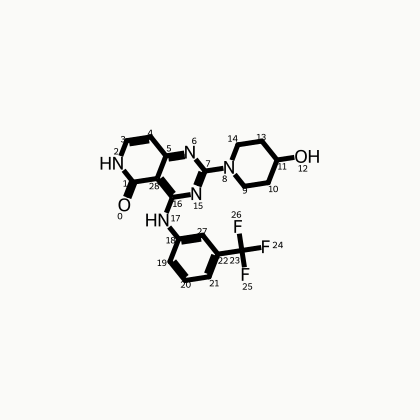 O=c1[nH]ccc2nc(N3CCC(O)CC3)nc(Nc3cccc(C(F)(F)F)c3)c12